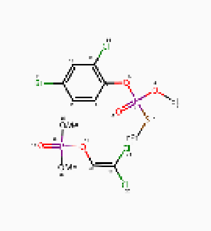 CCCSP(=O)(OCC)Oc1ccc(Br)cc1Cl.COP(=O)(OC)OC=C(Cl)Cl